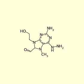 CN1c2c(NN)nc(N)nc2N(CCO)C1C=O